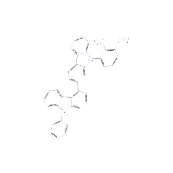 N#Cc1cccc(-n2c3ccccc3c3ccc(-c4cccc5c4c4ccccc4n5-c4ccccc4)cc32)c1C#N